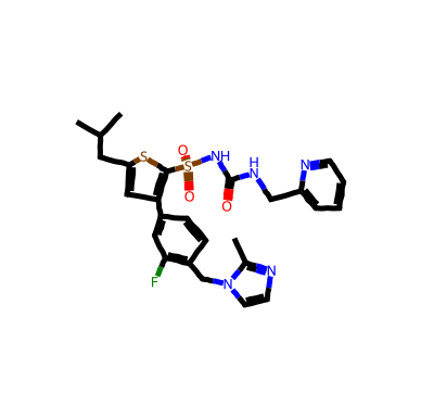 Cc1nccn1Cc1ccc(-c2cc(CC(C)C)sc2S(=O)(=O)NC(=O)NCc2ccccn2)cc1F